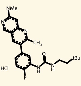 CNc1cc2nc(C)c(-c3ccc(F)c(NC(=O)NCCC(C)(C)C)c3)cc2cn1.Cl